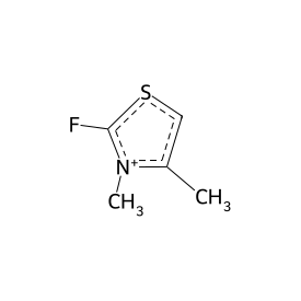 Cc1csc(F)[n+]1C